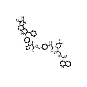 O=C(NC1(c2ccc(-c3nc4ccn5c(=O)[nH]nc5c4cc3-c3ccccc3)cc2)CCC1)OCc1ccc(NC(=O)[C@@H]2CC(F)(F)CN2C(=O)CNC(=O)c2ccnc3ccccc23)cc1